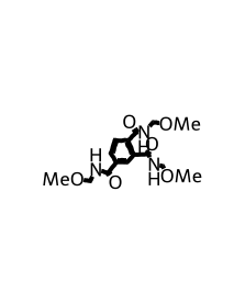 COCNC(=O)c1ccc(C(=O)NCOC)c(C(=O)NCOC)c1